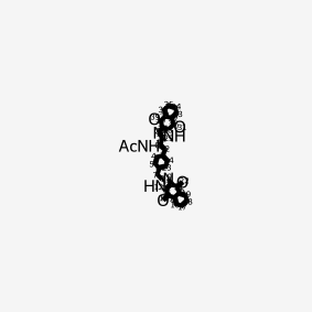 CC(=O)N/C(=C\c1ccc(Cc2nc3c([nH]2)C(=O)c2ccccc2C3=O)cc1)c1nc2c([nH]1)C(=O)c1ccccc1C2=O